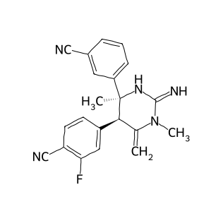 C=C1[C@@H](c2ccc(C#N)c(F)c2)[C@@](C)(c2cccc(C#N)c2)NC(=N)N1C